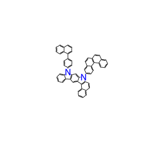 c1ccc2c(-c3ccc(-n4c5ccccc5c5cc6c7c8ccccc8ccc7n(-c7ccc8c(ccc9ccc%10ccccc%10c98)c7)c6cc54)cc3)cccc2c1